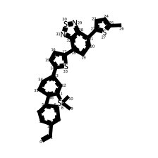 C=Cc1ccc2c(c1)[Si](C)(C)c1cc(-c3ccc(-c4ccc(-c5ccc(C)s5)c5nsnc45)s3)ccc1-2